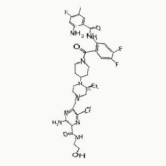 CC[C@H]1CN(c2nc(N)c(C(=O)NCCO)nc2Cl)CCN1C1CCN(C(=O)c2cc(F)c(F)cc2NC(=O)c2cc(C)c(F)cc2N)CC1